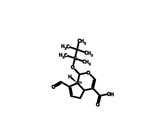 CC(C)(C)[Si](C)(C)OC1OC=C(C(=O)O)C2CC=C(C=O)[C@@H]12